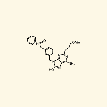 COCCOc1nc(N)c2nc(O)n(Cc3cccc(C[PH](=O)c4ccccc4)c3)c2n1